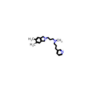 Cc1cc2c(cc1C)CN(CCCN(C)CCCc1cccnc1)C2